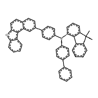 CC1(C)c2ccccc2-c2c(N(c3ccc(-c4ccccc4)cc3)c3ccc(-c4ccc5ccc6oc7ccccc7c6c5c4)cc3)cccc21